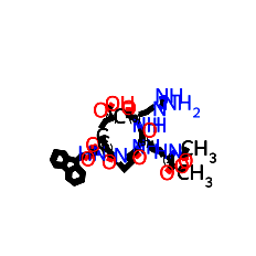 COC(=O)[C@H](CC=CC[C@@H]1NC(=O)C2CCCN2C(=O)[C@@H](NC(=O)OCC2c3ccccc3-c3ccccc32)CCCC[C@@H](C(=O)O)CC(=O)[C@H](CCCNC(=N)N)NC1=O)NC(C)=O